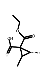 CCOC(=O)C1(C(=O)O)C(C)[C@H]1C